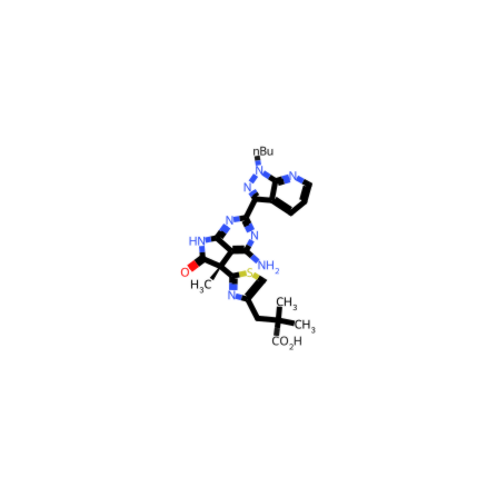 CCCCn1nc(-c2nc(N)c3c(n2)NC(=O)[C@@]3(C)c2nc(CC(C)(C)C(=O)O)cs2)c2cccnc21